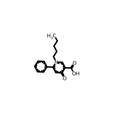 CCCCCn1cc(C(=O)O)c(=O)cc1-c1ccccc1